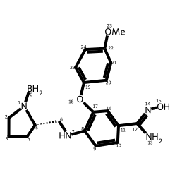 BN1CCC[C@H]1CNc1ccc(/C(N)=N/O)cc1Oc1ccc(OC)cc1